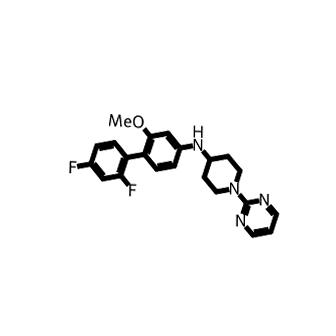 COc1cc(NC2CCN(c3ncccn3)CC2)ccc1-c1ccc(F)cc1F